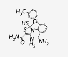 Cc1cccc(CC2(S)SC(C(N)=O)=C(N)N2c2c(Cl)cccc2CN)c1